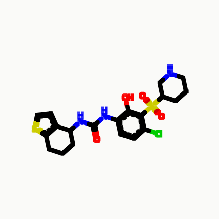 O=C(Nc1ccc(Cl)c(S(=O)(=O)C2CCCNC2)c1O)NC1CCCc2sccc21